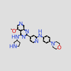 COc1cncc2nc(-c3ccnc(Nc4ccc(N5CCOCC5)cc4)c3)nc(NC3CCNC3)c12